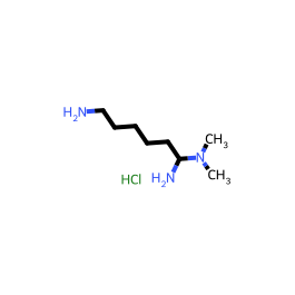 CN(C)C(N)CCCCCN.Cl